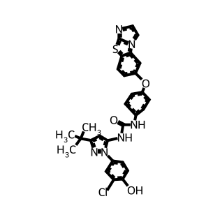 CC(C)(C)c1cc(NC(=O)Nc2ccc(Oc3ccc4sc5nccn5c4c3)cc2)n(-c2ccc(O)c(Cl)c2)n1